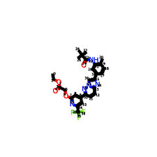 CCOC(=O)COc1cc(-c2ccc3nc(-c4ccc(C)c(NC(=O)C(C)(C)C)c4)cn3n2)cc(C(F)(F)F)n1